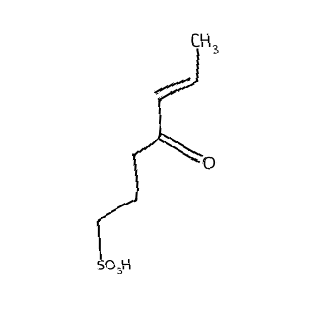 CC=CC(=O)CCCS(=O)(=O)O